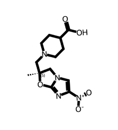 C[C@]1(CN2CCC(C(=O)O)CC2)Cn2cc([N+](=O)[O-])nc2O1